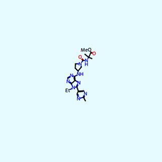 CCn1c(-c2cnc(C)nc2)nc2c(NC3CCN(C(=O)NC(C)(C)C(=O)OC)C3)ncnc21